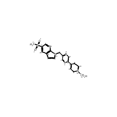 CS(=O)(=O)c1cnc2c(ccn2Cc2cnc(C3=CCN(C(=O)O)CC3)cn2)c1